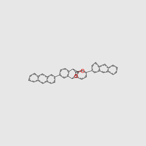 O=C1C(=O)C2c3ccc(-c4ccc5cc6ccccc6cc5c4)cc3C1c1ccc(-c3ccc4cc5ccccc5cc4c3)cc12